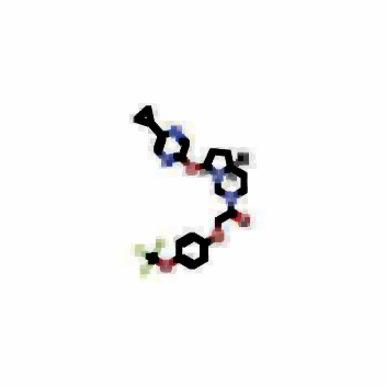 O=C(COc1ccc(OC(F)(F)F)cc1)N1CC[C@@H]2CC[C@H](Oc3cnc(C4CC4)cn3)N2C1